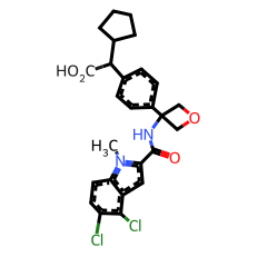 Cn1c(C(=O)NC2(c3ccc(C(C(=O)O)C4CCCC4)cc3)COC2)cc2c(Cl)c(Cl)ccc21